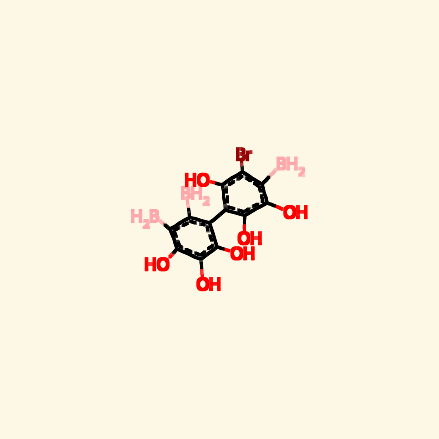 Bc1c(B)c(-c2c(O)c(O)c(B)c(Br)c2O)c(O)c(O)c1O